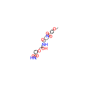 CCOc1ccc(S(=O)(=O)N2CCC3(CC2)CC(NC[C@H](O)COc2cccc(S(=O)(=O)NC)c2)CO3)cc1